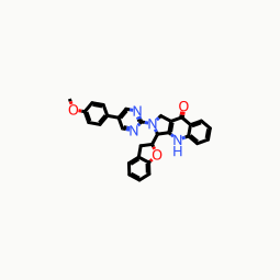 COc1ccc(-c2cnc(N3Cc4c([nH]c5ccccc5c4=O)C3C3Cc4ccccc4O3)nc2)cc1